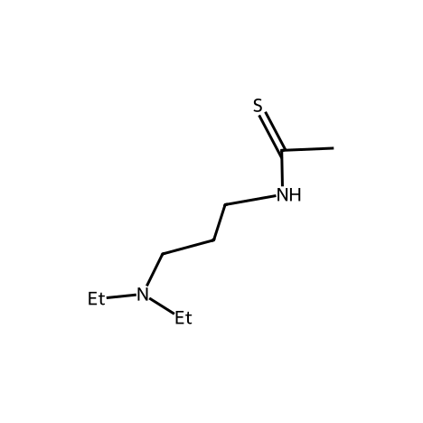 CCN(CC)CCCNC(C)=S